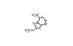 C=Cc1cc2nccc(N)c2s1